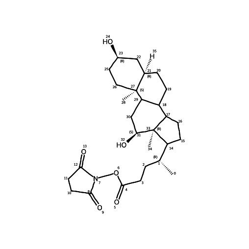 C[C@H](CCC(=O)ON1C(=O)CCC1=O)C1CCC2C3CC[C@@H]4C[C@H](O)CC[C@]4(C)C3C[C@H](O)[C@@]21C